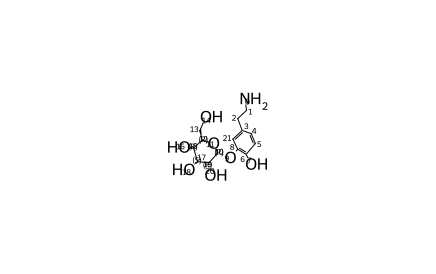 NCCc1ccc(O)c(O[C@H]2O[C@H](CO)[C@H](O)[C@H](O)[C@H]2O)c1